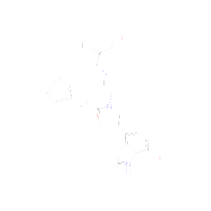 C=C(CO)CNCCN(CCc1ccc(O)c2[nH]c(=O)sc12)C(=O)OCc1ccccc1